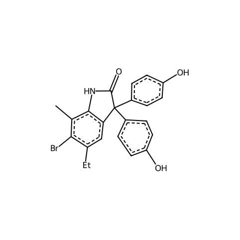 CCc1cc2c(c(C)c1Br)NC(=O)C2(c1ccc(O)cc1)c1ccc(O)cc1